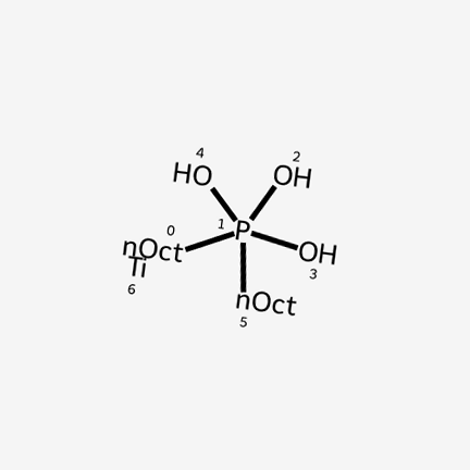 CCCCCCCCP(O)(O)(O)CCCCCCCC.[Ti]